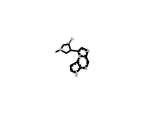 CC[C@@H]1CN(C)CC1c1cnc2cnc3[nH]ccc3n12